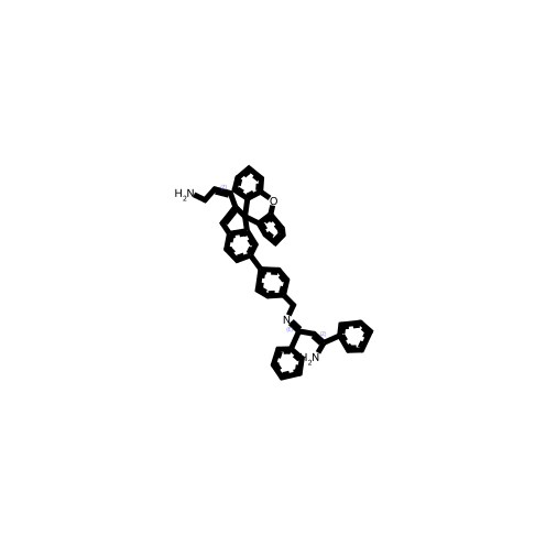 NC/C=C\C1=Cc2ccc(-c3ccc(C/N=C(\C=C(/N)c4ccccc4)c4ccccc4)cc3)cc2C12c1ccccc1Oc1ccccc12